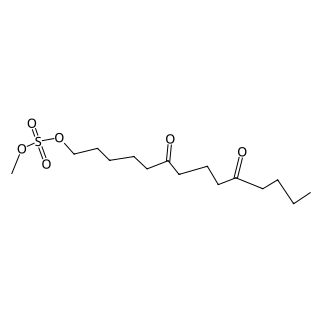 CCCCC(=O)CCCC(=O)CCCCCOS(=O)(=O)OC